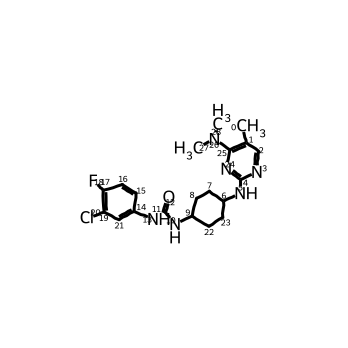 Cc1cnc(NC2CCC(NC(=O)Nc3ccc(F)c(Cl)c3)CC2)nc1N(C)C